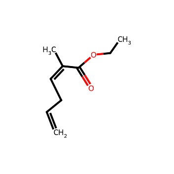 C=CCC=C(C)C(=O)OCC